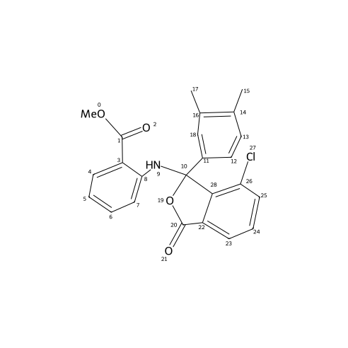 COC(=O)c1ccccc1NC1(c2ccc(C)c(C)c2)OC(=O)c2cccc(Cl)c21